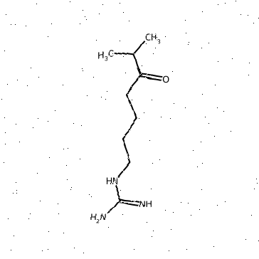 CC(C)C(=O)CCCCNC(=N)N